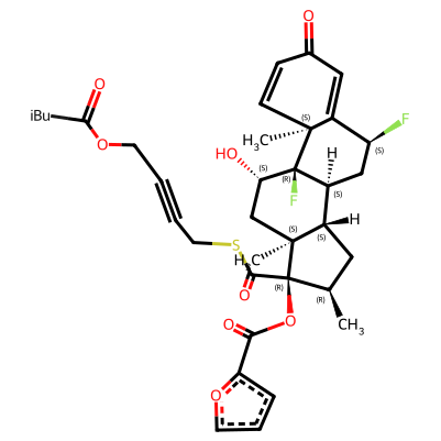 CCC(C)C(=O)OCC#CCSC(=O)[C@@]1(OC(=O)c2ccco2)[C@H](C)C[C@H]2[C@@H]3C[C@H](F)C4=CC(=O)C=C[C@]4(C)[C@@]3(F)[C@@H](O)C[C@@]21C